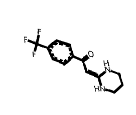 O=C(C=C1NCCCN1)c1ccc(C(F)(F)F)cc1